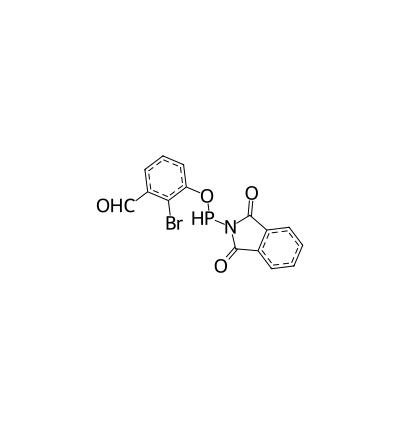 O=Cc1cccc(OPN2C(=O)c3ccccc3C2=O)c1Br